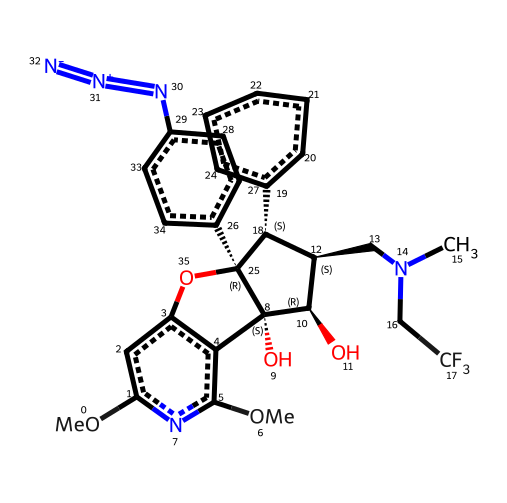 COc1cc2c(c(OC)n1)[C@]1(O)[C@H](O)[C@H](CN(C)CC(F)(F)F)[C@@H](c3ccccc3)[C@]1(c1ccc(N=[N+]=[N-])cc1)O2